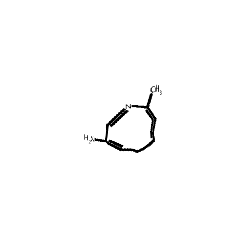 CC1=C=CC/C=C(N)\C=N/1